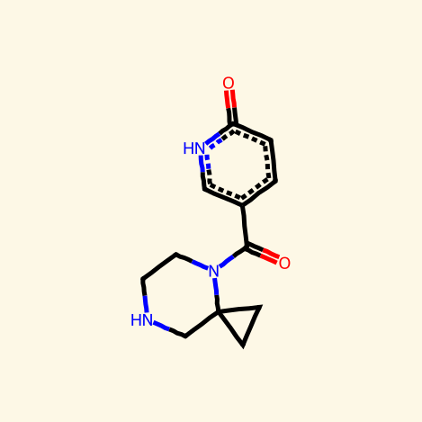 O=C(c1ccc(=O)[nH]c1)N1CCNCC12CC2